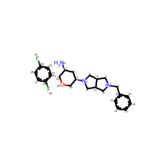 N[C@H]1C[C@@H](N2CC3CN(Cc4ccccc4)CC3C2)CO[C@@H]1c1cc(F)ccc1F